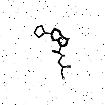 O=C(NCC(O)CCl)c1cnn2ccc(N3CCCC3)nc12